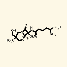 COC1(NC(=O)CCCC(N)C(=O)O)C(=O)N2CC(CO)(C(=O)O)CS[C@@H]21